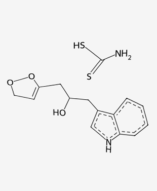 NC(=S)S.OC(CC1=CCOO1)Cc1c[nH]c2ccccc12